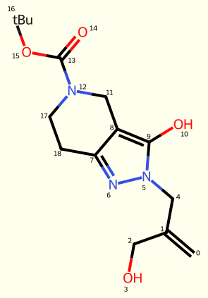 C=C(CO)Cn1nc2c(c1O)CN(C(=O)OC(C)(C)C)CC2